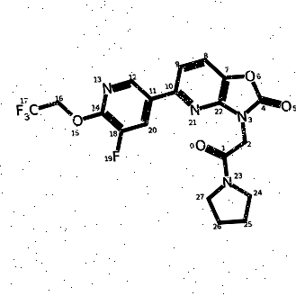 O=C(Cn1c(=O)oc2ccc(-c3cnc(OCC(F)(F)F)c(F)c3)nc21)N1CCCC1